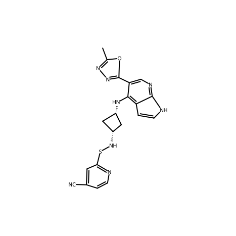 Cc1nnc(-c2cnc3[nH]ccc3c2N[C@H]2C[C@@H](NSc3cc(C#N)ccn3)C2)o1